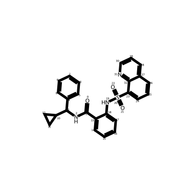 O=C(NC(c1ccccc1)C1CC1)c1ccccc1NS(=O)(=O)c1cccc2cccnc12